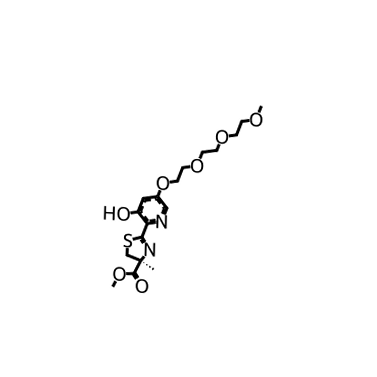 COCCOCCOCCOc1cnc(C2=N[C@@](C)(C(=O)OC)CS2)c(O)c1